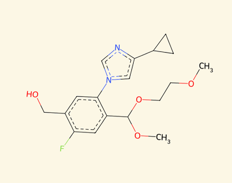 COCCOC(OC)c1cc(F)c(CO)cc1-n1cnc(C2CC2)c1